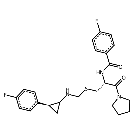 O=C(N[C@@H](CSCNC1C[C@H]1c1ccc(F)cc1)C(=O)N1CCCC1)c1ccc(F)cc1